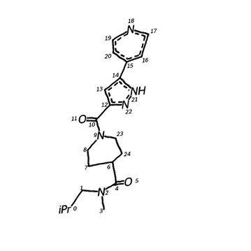 CC(C)CN(C)C(=O)C1CCN(C(=O)c2cc(-c3ccncc3)[nH]n2)CC1